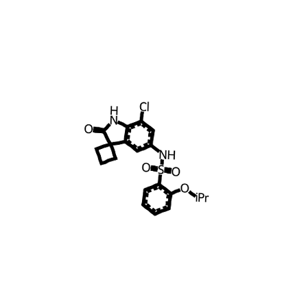 CC(C)Oc1ccccc1S(=O)(=O)Nc1cc(Cl)c2c(c1)C1(CCC1)C(=O)N2